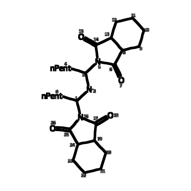 CCCCCC([N]C(CCCCC)N1C(=O)C2CCCCC2C1=O)N1C(=O)C2CCCCC2C1=O